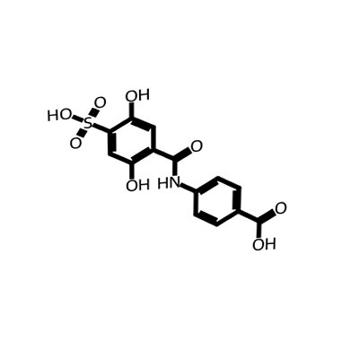 O=C(O)c1ccc(NC(=O)c2cc(O)c(S(=O)(=O)O)cc2O)cc1